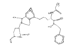 CC(=O)N[C@@H](CCCc1cccc2c1CN(C1CCC(=O)NC1=O)C2=O)C(=O)N(C)Cc1ccccc1